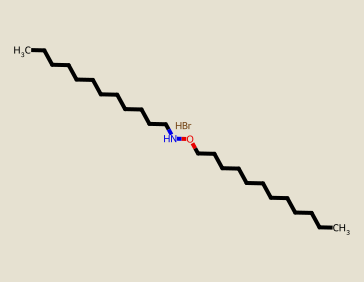 Br.CCCCCCCCCCCCNOCCCCCCCCCCCC